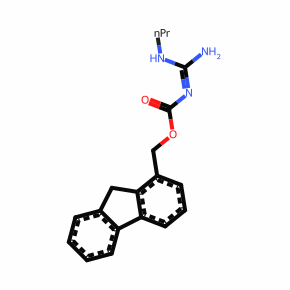 [CH2]CCNC(N)=NC(=O)OCc1cccc2c1Cc1ccccc1-2